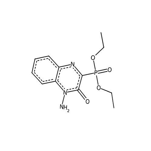 CCOP(=O)(OCC)c1nc2ccccc2n(N)c1=O